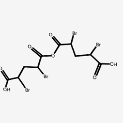 O=C(O)C(Br)CC(Br)C(=O)OC(=O)C(Br)CC(Br)C(=O)O